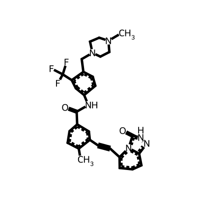 Cc1ccc(C(=O)Nc2ccc(CN3CCN(C)CC3)c(C(F)(F)F)c2)cc1C#Cc1cccc2n[nH]c(=O)n12